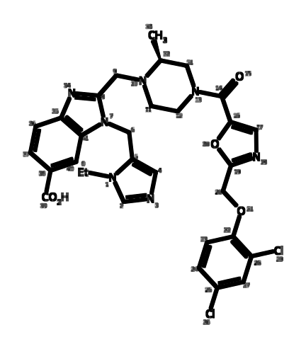 CCn1cncc1Cn1c(CN2CCN(C(=O)c3cnc(COc4ccc(Cl)cc4Cl)o3)C[C@@H]2C)nc2ccc(C(=O)O)cc21